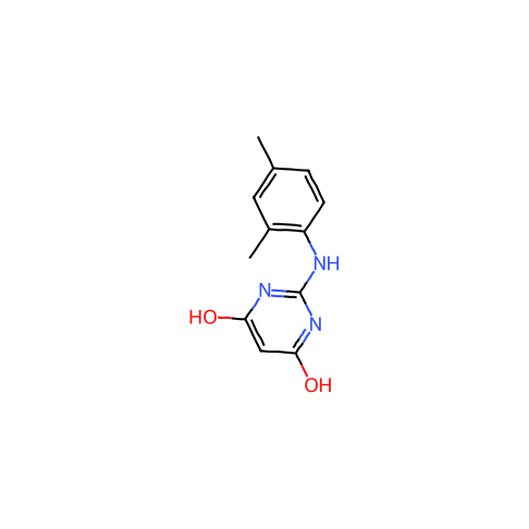 Cc1ccc(Nc2nc(O)cc(O)n2)c(C)c1